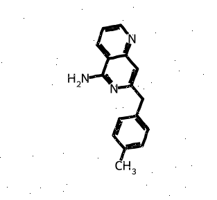 Cc1ccc(Cc2cc3ncccc3c(N)n2)cc1